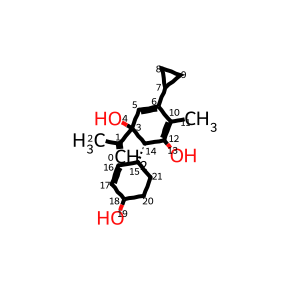 C=C(C)C1(O)C=C(C2CC2)C(C)=C(O)[C@@H]1C1C=CC(O)CC1